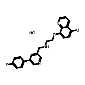 Cl.Fc1ccc(-c2cncc(CNCCOc3ccc(Cl)c4cccnc34)c2)cc1